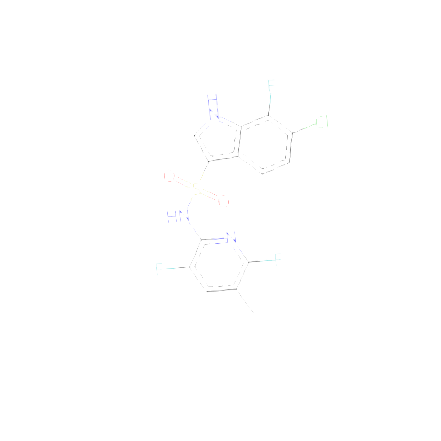 Cc1cc(F)c(NS(=O)(=O)c2c[nH]c3c(F)c(Cl)ccc23)nc1F